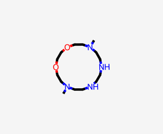 CN1CCNCCNCCN(C)CCOCCOCC1